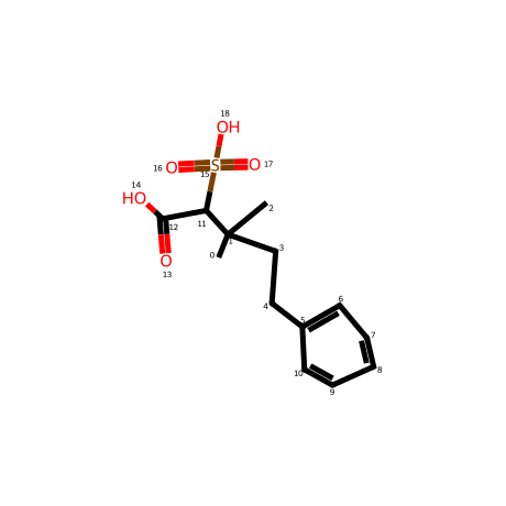 CC(C)(CCc1ccccc1)C(C(=O)O)S(=O)(=O)O